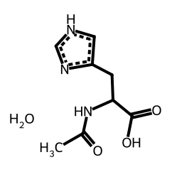 CC(=O)NC(Cc1c[nH]cn1)C(=O)O.O